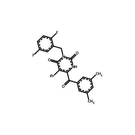 Cc1cc(C)cc(C(=O)c2[nH]c(=O)n(Cc3cc(F)ccc3F)c(=O)c2C(C)C)c1